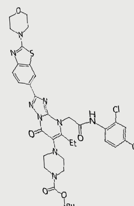 CCc1c(N2CCN(C(=O)OC(C)(C)C)CC2)c(=O)n2nc(-c3ccc4nc(N5CCOCC5)sc4c3)nc2n1CC(=O)Nc1ccc(C(F)(F)F)cc1Cl